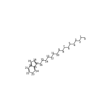 CCCCCCCCCCCCCCCCCC1=CC=C2C=CCC=C21